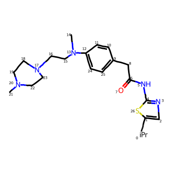 CC(C)c1cnc(NC(=O)Cc2ccc(N(C)CCN3CCN(C)CC3)cc2)s1